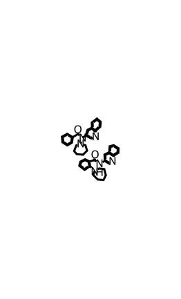 O=C(Nc1cnc2ccccc2c1)c1ccccc1N1CCCCCC1.O=C(c1ccccc1)N(c1cnc2ccccc2c1)N1CCCCCC1